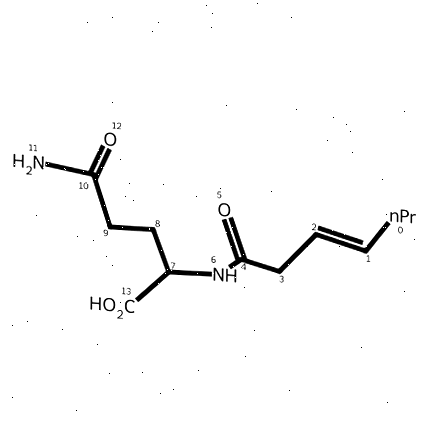 CCCC=CCC(=O)NC(CCC(N)=O)C(=O)O